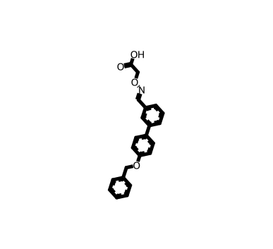 O=C(O)CON=Cc1cccc(-c2ccc(OCc3ccccc3)cc2)c1